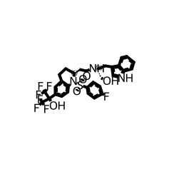 O=C(C[C@@H]1CCc2cc(C(O)(C(F)(F)F)C(F)(F)F)ccc2N1S(=O)(=O)c1ccc(F)cc1)N[C@@H](CO)Cc1c[nH]c2ccccc12